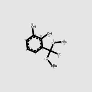 CCCCOC(CC)(OCCCC)c1cccc(O)c1O